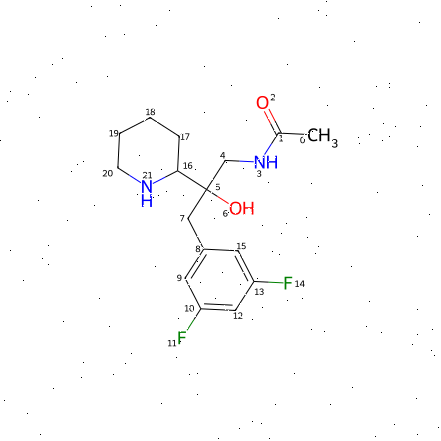 CC(=O)NCC(O)(Cc1cc(F)cc(F)c1)C1CCCCN1